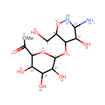 COC(=O)C1OC(OC2C(CO)ONC(N)C2O)C(O)C(O)C1O